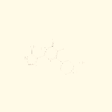 Cc1ncsc1-c1nc(N2CCN[C@@H](C)C2)c(Cl)c(=O)[nH]1